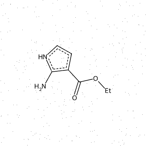 CCOC(=O)c1cc[nH]c1N